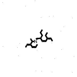 C/C=C\C(=C/C)C(C)/N=C/C(/C=C\C(=C/C)CC)CCC